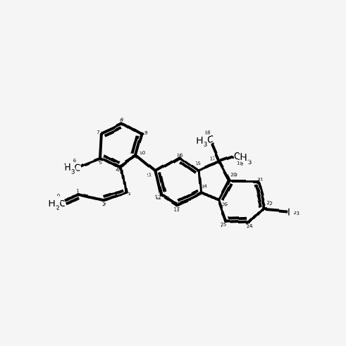 C=C/C=C\c1c(C)cccc1-c1ccc2c(c1)C(C)(C)c1cc(I)ccc1-2